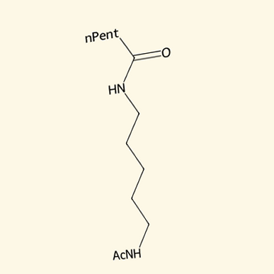 CCCCCC(=O)NCCCCCNC(C)=O